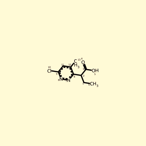 CCC(C(=O)O)c1nnc(Cl)cc1C